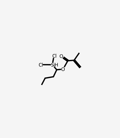 C=C(C)C(=O)OC(CCC)[SiH](Cl)Cl